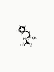 C[C@@H](Cn1ccnn1)NC(=O)O